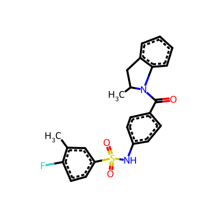 Cc1cc(S(=O)(=O)Nc2ccc(C(=O)N3c4ccccc4CC3C)cc2)ccc1F